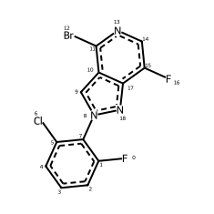 Fc1cccc(Cl)c1-n1cc2c(Br)ncc(F)c2n1